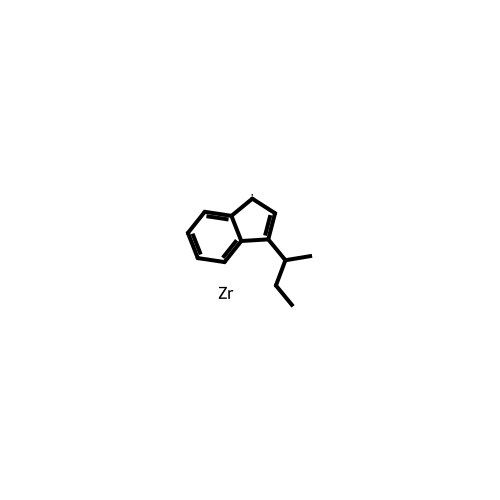 CCC(C)C1=C[CH]c2ccccc21.[Zr]